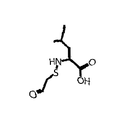 CC(C)CC(NSCC=O)C(=O)O